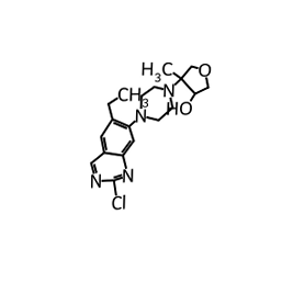 CCc1cc2cnc(Cl)nc2cc1N1CCN(C2(C)COCC2O)CC1